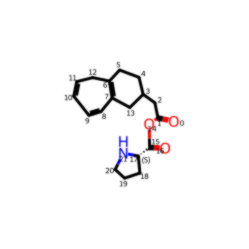 O=C(CC1CCC2=C(C=CC=CC2)C1)OC(=O)[C@@H]1CCCN1